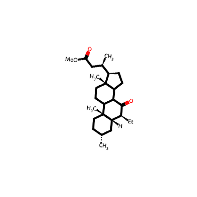 CC[C@@H]1C(=O)C2C3CC[C@H]([C@H](C)CC(=O)OC)[C@@]3(C)CCC2[C@@]2(C)CC[C@@H](C)C[C@@H]12